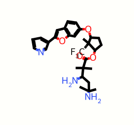 CC(C)(N)CC(N)C(C)(C)C(=O)OC1CCC(Oc2ccc3cc(-c4cccnc4)oc3c2)C1(C)C(F)(F)F